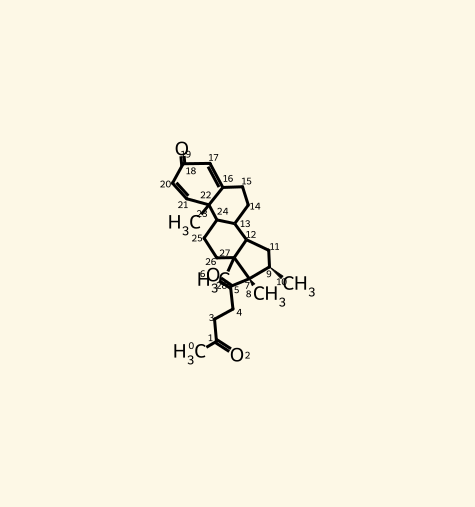 CC(=O)CCC(=O)[C@@]1(C)[C@H](C)CC2C3CCC4=CC(=O)C=CC4(C)C3CCC21C